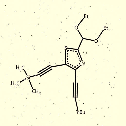 CCCCC#Cc1nc(C(OCC)OCC)sc1C#C[Si](C)(C)C